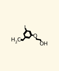 C=Cc1cc(I)cc(OCCO)c1